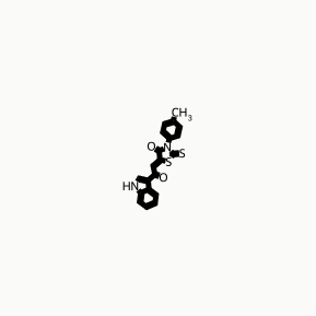 Cc1ccc(N2C(=O)/C(=C/C(=O)c3c[nH]c4ccccc34)SC2=S)cc1